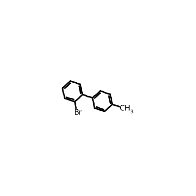 Cc1ccc(-c2ccccc2Br)cc1